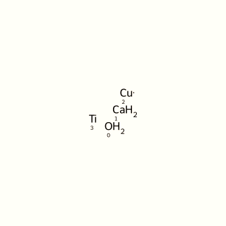 O.[CaH2].[Cu].[Ti]